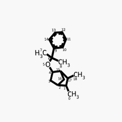 CC1C2CC(OC(C)(C)c3ccccc3)C(C2)C1C